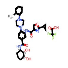 Cc1ccccc1N1CCN(c2ccc(C(=O)N[C@@H]3CCC[C@@H](O)[C@H]3O)cc2NC(=O)c2coc(C3CC3)n2)CC1.O=C(O)C(F)(F)F